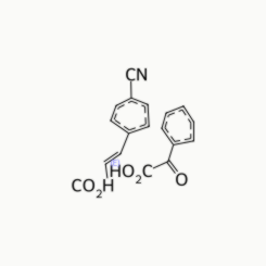 N#Cc1ccc(/C=C/C(=O)O)cc1.O=C(O)C(=O)c1ccccc1